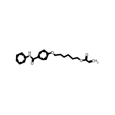 C=CC(=O)OCCCCCCOc1ccc(C(=O)Nc2ccccc2)cc1